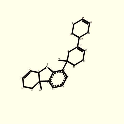 CC1(c2cccc3c2SC2C=CCCC32C)CCC=C(C2CC=CCC2)C1